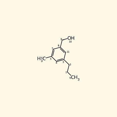 CCCc1cc(C)cc([CH]O)c1